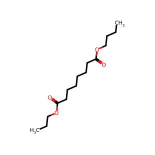 CCCCOC(=O)CCCCCCC(=O)OCCC